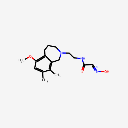 COc1cc(C)c(C)c2c1CCCN(CCNC(=O)/C=N/O)C2